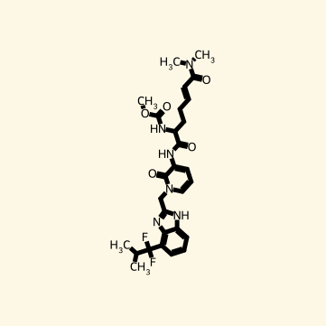 COC(=O)NC(CC/C=C/C(=O)N(C)C)C(=O)Nc1cccn(Cc2nc3c(C(F)(F)C(C)C)cccc3[nH]2)c1=O